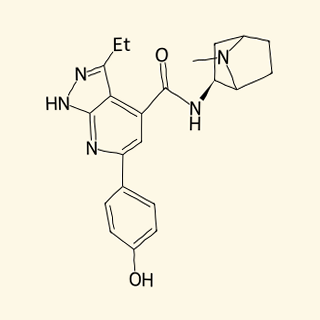 CCc1n[nH]c2nc(-c3ccc(O)cc3)cc(C(=O)N[C@H]3CC4CCC3N4C)c12